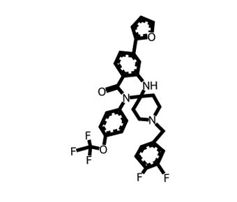 O=C1c2ccc(-c3ccco3)cc2NC2(CCN(Cc3ccc(F)c(F)c3)CC2)N1c1ccc(OC(F)(F)F)cc1